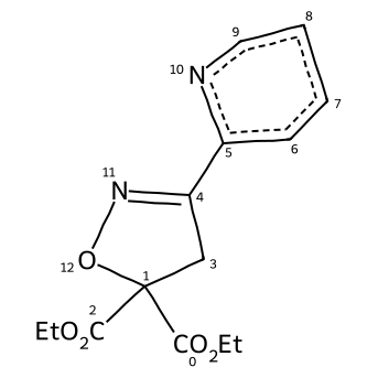 CCOC(=O)C1(C(=O)OCC)CC(c2ccccn2)=NO1